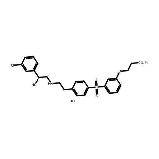 CCOC(=O)CCOc1cccc(S(=O)(=O)c2ccc(CCNC[C@@H](O)c3cccc(Cl)c3)cc2)c1.Cl